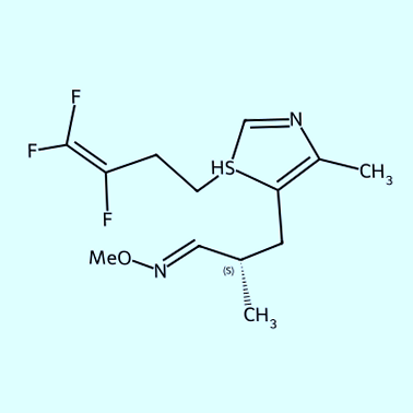 CON=C[C@@H](C)CC1=C(C)N=C[SH]1CCC(F)=C(F)F